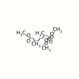 CCOOP(=O)(CC(C)=CC=CC(C)=CC(=O)OCC)OOCC